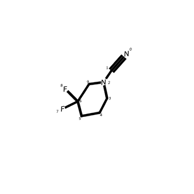 N#CN1CCCC(F)(F)C1